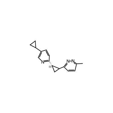 Cc1ccc(C2C[C@@H]2c2ccc(C3CC3)cn2)nn1